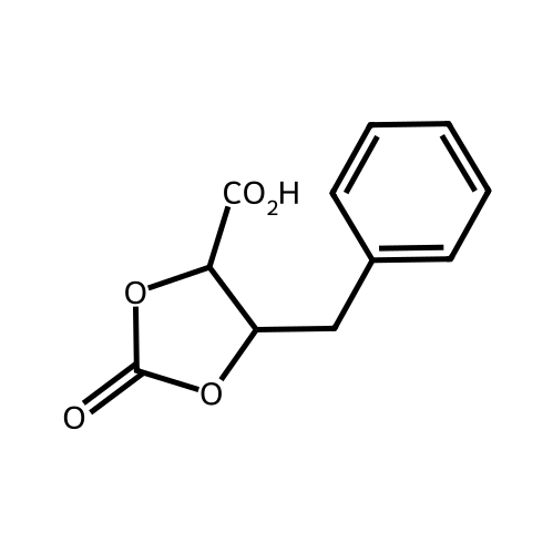 O=C1OC(Cc2ccccc2)C(C(=O)O)O1